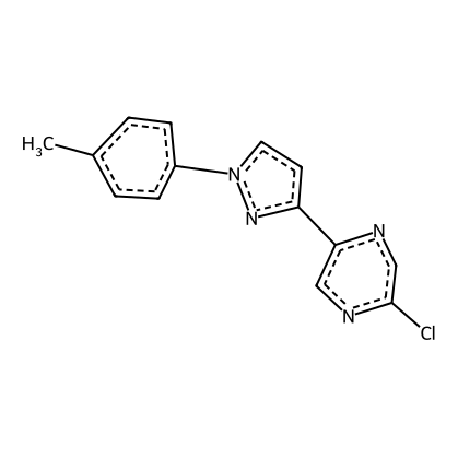 Cc1ccc(-n2ccc(-c3cnc(Cl)cn3)n2)cc1